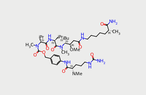 CC[C@H](C)[C@@H]([C@@H](CC(=O)NCCCCC[C@@H](C)C(N)=O)OC)N(C)C(=O)[C@@H](NC(=O)[C@H](C(C)C)N(C)C(=O)OCc1ccc(NC(=O)[C@H](CCCNC(N)=O)NC)cc1)C(C)C